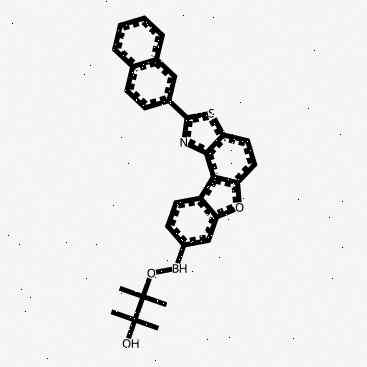 CC(C)(O)C(C)(C)OBc1ccc2c(c1)oc1ccc3sc(-c4ccc5ccccc5c4)nc3c12